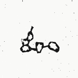 Cc1ccc2c(c1)oc1cccc(-c3ccc(-c4ccccc4)cc3)c12